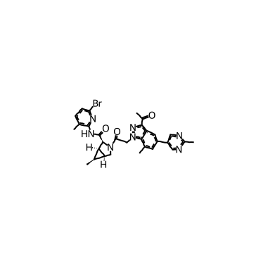 CC(=O)c1nn(CC(=O)N2C[C@H]3[C@@H](C)[C@H]3[C@H]2C(=O)Nc2nc(Br)ccc2C)c2c(C)cc(-c3cnc(C)nc3)cc12